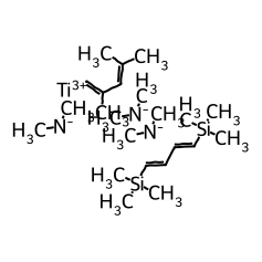 CC(C)=CC(C)=[CH][Ti+3].C[N-]C.C[N-]C.C[N-]C.C[Si](C)(C)C=CC=C[Si](C)(C)C